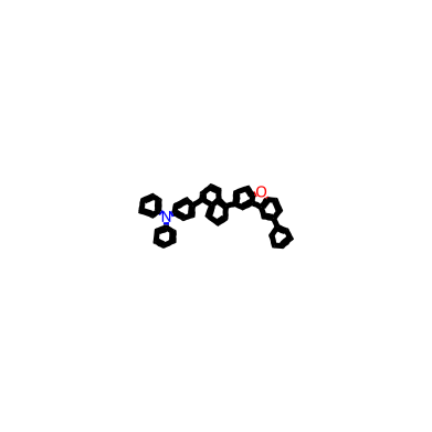 C1=CCCC(c2ccc3oc4ccc(-c5cccc6c(-c7ccc(N(c8ccccc8)c8ccccc8)cc7)cccc56)cc4c3c2)=C1